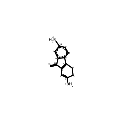 BC1=CC2=C(CC1)c1ccc(B)cc1C2=C